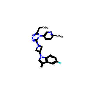 COCc1nnc(N2CC(n3cc(C)c4cc(F)ccc43)C2)n1-c1ccc(OC)nc1